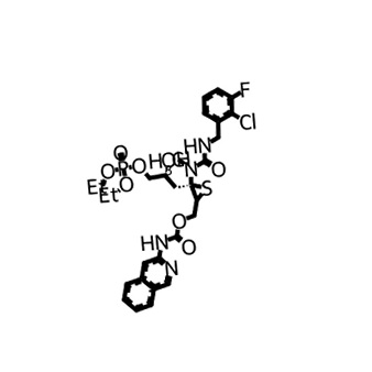 CCOP(=O)(OCC)OC[C@H](O)C[C@]1(N(C)C(=O)NCc2cccc(F)c2Cl)SC1COC(=O)Nc1cc2ccccc2cn1